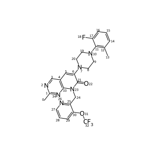 Cc1ncc2cc(N3CCN(c4c(C)cccc4F)CC3)c(=O)n(Cc3ncccc3OC(F)(F)F)c2n1